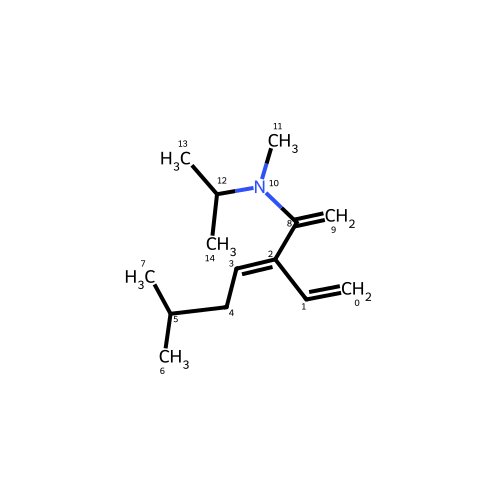 C=C/C(=C\CC(C)C)C(=C)N(C)C(C)C